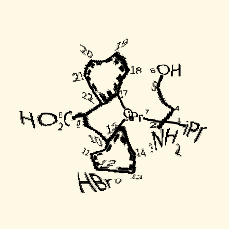 Br.CC(C)C(N)(CCO)C(C)C.O=C(O)C1c2ccccc2Oc2ccccc21